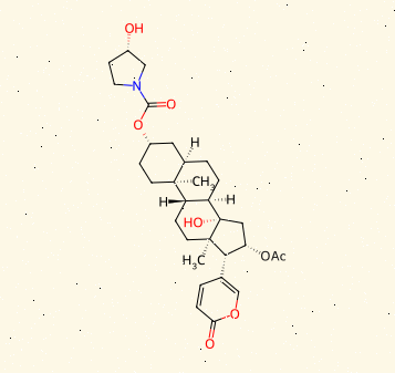 CC(=O)O[C@H]1C[C@]2(O)[C@@H]3CC[C@@H]4C[C@@H](OC(=O)N5CC[C@H](O)C5)CC[C@]4(C)[C@H]3CC[C@]2(C)[C@H]1c1ccc(=O)oc1